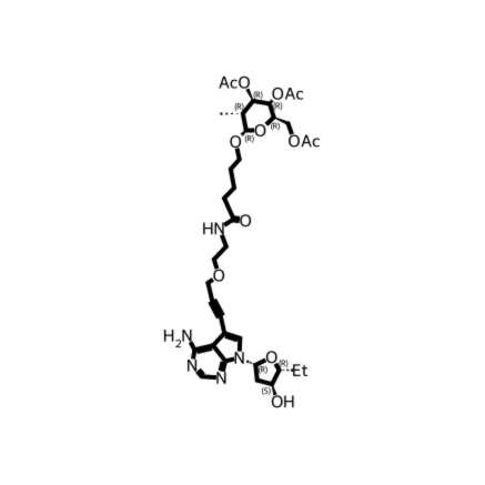 CC[C@H]1O[C@@H](n2cc(C#CCOCCNC(=O)CCCCO[C@@H]3O[C@H](COC(C)=O)[C@H](OC(C)=O)[C@H](OC(C)=O)[C@H]3C)c3c(N)ncnc32)C[C@@H]1O